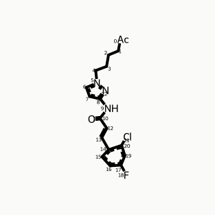 CC(=O)CCCCn1ccc(NC(=O)C=Cc2ccc(F)cc2Cl)n1